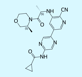 C[C@H](Nc1cc(-c2cnc(NC(=O)C3CC3)cn2)cnc1C#N)C(=O)N1CCOC[C@@H]1C